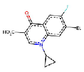 CCc1cc2c(cc1F)c(=O)c(C(=O)O)cn2C1CC1